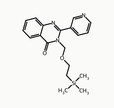 C[Si](C)(C)CCOCn1c(-c2cccnc2)nc2ccccc2c1=O